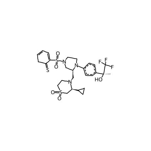 C[C@](O)(c1ccc(N2CCN(S(=O)(=O)C3=CC=CCC3=S)C[C@@H]2CN2CCS(=O)(=O)C[C@@H]2C2CC2)cc1)C(F)(F)F